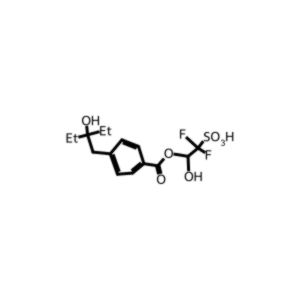 CCC(O)(CC)Cc1ccc(C(=O)OC(O)C(F)(F)S(=O)(=O)O)cc1